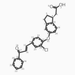 O=C(O)C[C@@H]1CCc2cc(Oc3ccc(/C=C/C(=O)c4ccccc4)cc3Cl)ccc21